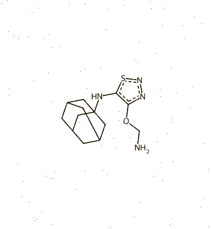 NCOc1nnsc1NC12CC3CC(CC(C3)C1)C2